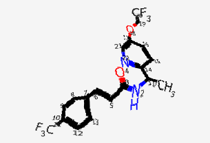 CC(NC(=O)/C=C/c1ccc(C(F)(F)F)cc1)c1ccc(OCC(F)(F)F)cn1